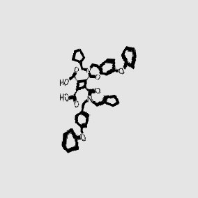 O=C(O)[C@H]1[C@H](C(=O)O)[C@H](C(=O)N(Cc2ccc(Oc3ccccc3)cc2)CC2CCCC2)[C@H]1C(=O)N(Cc1ccc(Oc2ccccc2)cc1)CC1CCCC1